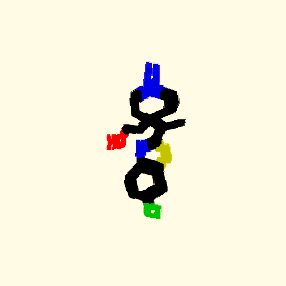 CC(c1nc2ccc(Cl)cc2s1)C1(CCO)CCNCC1